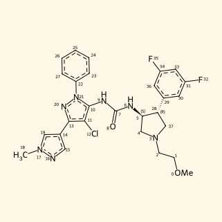 COCCN1C[C@@H](NC(=O)Nc2c(Cl)c(-c3cnn(C)c3)nn2-c2ccccc2)[C@H](c2cc(F)cc(F)c2)C1